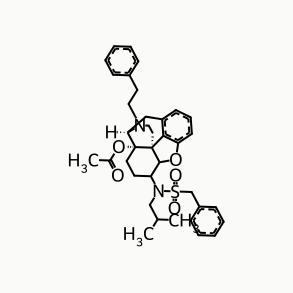 CC(=O)O[C@@]12CCC(N(CC(C)C)S(=O)(=O)Cc3ccccc3)C3Oc4cccc5c4[C@@]31CCN(CCc1ccccc1)[C@@H]2C5